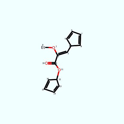 CCOC(=CC1C=CC=C1)C(=O)OC1C=CC=C1